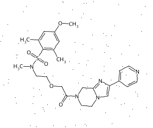 COc1cc(C)c(S(=O)(=O)N(C)CCOCC(=O)N2CCn3cc(-c4ccncc4)nc3C2)c(C)c1